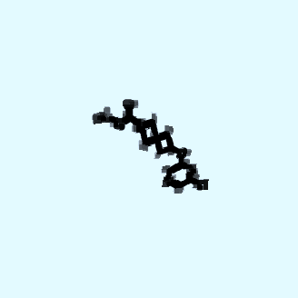 CC(C)(C)OC(=O)N1CC2(CC(Oc3cncc(Cl)n3)C2)C1